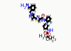 CC(C)(C)OC(=O)N[C@@H]1CCCN(c2c(F)cccc2NC(=O)c2csc(-c3cnn(Cc4ccccc4CN)c3)n2)C1